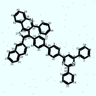 c1ccc(-c2cc(-c3ccc(-c4ccc(-c5c(-c6ccc7ccccc7c6)sc6c5c(-c5ccccc5)nc5ccccc56)cc4)cc3)nc(-c3ccccc3)n2)cc1